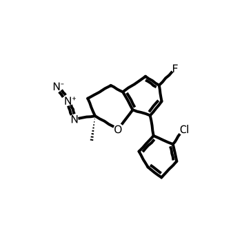 C[C@]1(N=[N+]=[N-])CCc2cc(F)cc(-c3ccccc3Cl)c2O1